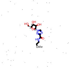 COCCNC(=O)c1ncn([C@@H]2O[C@H](CO)[C@H](O)C2O)n1